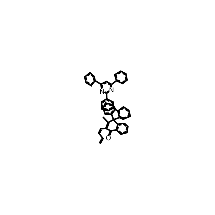 C=C/C=C\C1=C(C)C(c2ccccc2)(c2ccccc2-c2cccc(-c3nc(-c4ccccc4)cc(-c4ccccc4)n3)c2)c2ccccc2C1=O